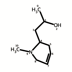 CC(O)CC1CC=CCN1C